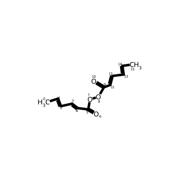 C/C=C/C=C/C(=O)OOC(=O)/C=C/C=C/C